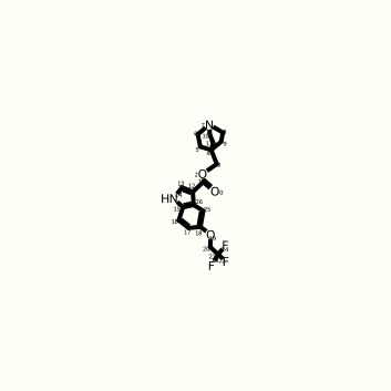 O=C(OCC12CCN(CC1)CC2)c1c[nH]c2ccc(OCC(F)(F)F)cc12